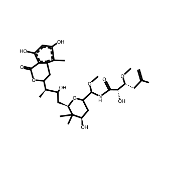 C=C(C)C[C@@H](OC)[C@H](O)C(=O)NC(OC)C1C[C@@H](O)C(C)(C)[C@@H](CC(O)[C@@H](C)C2Cc3c(C)c(O)cc(O)c3C(=O)O2)O1